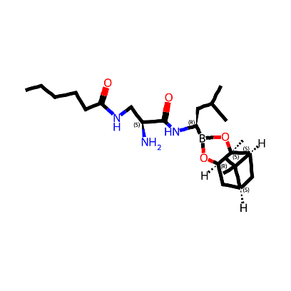 CCCCCC(=O)NC[C@H](N)C(=O)N[C@@H](CC(C)C)B1O[C@@H]2C[C@@H]3C[C@@H](C3(C)C)[C@]2(C)O1